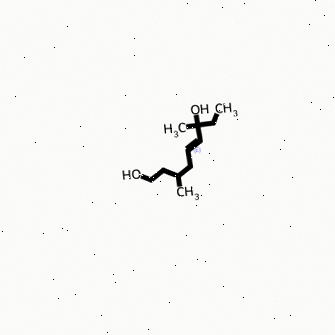 CCC(C)(O)/C=C/CC(C)CCO